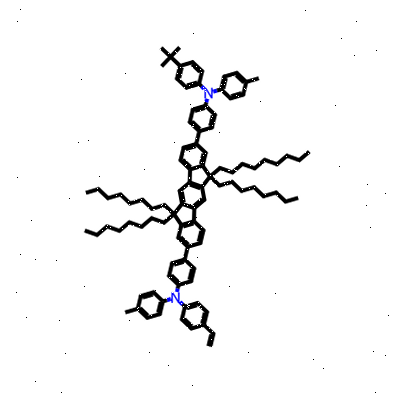 C=Cc1ccc(N(c2ccc(C)cc2)c2ccc(-c3ccc4c(c3)C(CCCCCCCC)(CCCCCCCC)c3cc5c(cc3-4)C(CCCCCCCC)(CCCCCCCCC)c3cc(-c4ccc(N(c6ccc(C)cc6)c6ccc(C(C)(C)C)cc6)cc4)ccc3-5)cc2)cc1